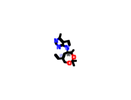 C=C/C1=C/[C@@H](n2ccc3c(C)ncnc32)[C@@H](C)OC(C)(C)OC1